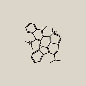 Cc1c2ccccc2c(N(C)C)c2c1c1c3c(cc[n+]1C)cc(C(C)C)c1c4ccccc4n2c13